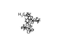 CCn1nccc1C1CCC(C)CN1C(=O)C(=O)OCC(F)(F)F.O=C(Cl)C(=O)OCC(F)(F)F